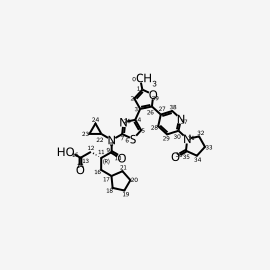 Cc1cc(-c2csc(N(C(=O)[C@@H](CC(=O)O)CC3CCCC3)C3CC3)n2)c(-c2ccc(N3CCCC3=O)nc2)o1